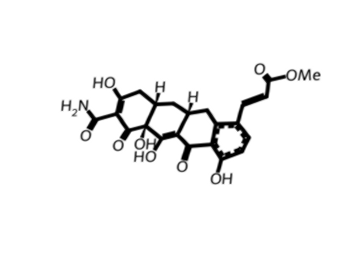 COC(=O)/C=C/c1ccc(O)c2c1C[C@H]1C[C@H]3CC(O)=C(C(N)=O)C(=O)[C@@]3(O)C(O)=C1C2=O